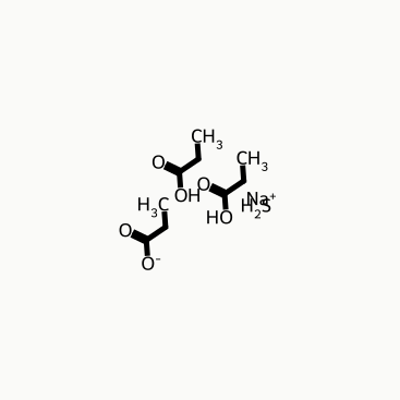 CCC(=O)O.CCC(=O)O.CCC(=O)[O-].S.[Na+]